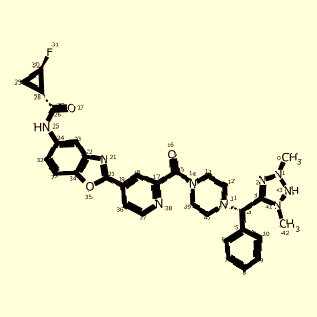 CN1N=C([C@H](c2ccccc2)N2CCN(C(=O)c3cc(-c4nc5cc(NC(=O)[C@@H]6C[C@H]6F)ccc5o4)ccn3)CC2)N(C)N1